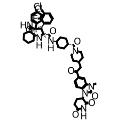 Cn1c(=O)n(C2CCC(=O)NC2=O)c2ccc(C(=O)CC3CCN(C(=O)[C@H]4CC[C@H](NC(=O)[C@@H]5NC6(CCCCC6)[C@@]6(C(=O)Nc7cc(Cl)ccc76)[C@H]5c5cccc(Cl)c5F)CC4)CC3)cc21